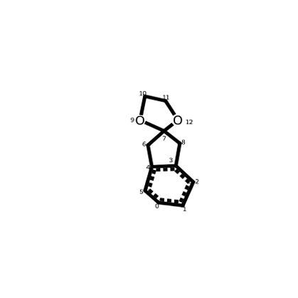 c1ccc2c(c1)CC1(C2)OCCO1